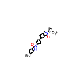 CC(C)C(C(=O)O)N1Cc2ccc(-c3ccc(NC(=O)c4ccc(C(C)(C)C)cc4)cc3)cc2C1=O